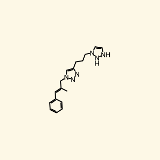 C/C(=C\c1ccccc1)Cn1cc(CCCN2C=CNN2)nn1